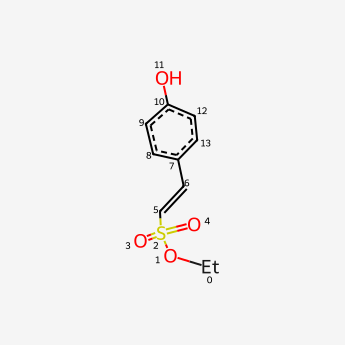 CCOS(=O)(=O)/C=C/c1ccc(O)cc1